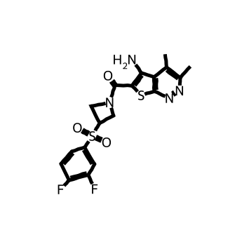 Cc1nnc2sc(C(=O)N3CC(S(=O)(=O)c4ccc(F)c(F)c4)C3)c(N)c2c1C